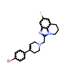 Fc1cc2c3c(c1)nc(CN1CC=C(c4ccc(Br)cc4)CC1)n3CCC2